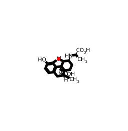 C[C@H](N[C@H]1CC[C@@]2(O)[C@H]3Cc4ccc(O)c5c4[C@@]2(CCN3C)[C@H]1O5)C(=O)O